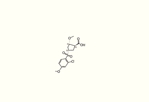 COc1ccc(S(=O)(=O)[C@@H]2C[C@H](OC)[C@@H](C(=O)O)C2)c(Cl)c1